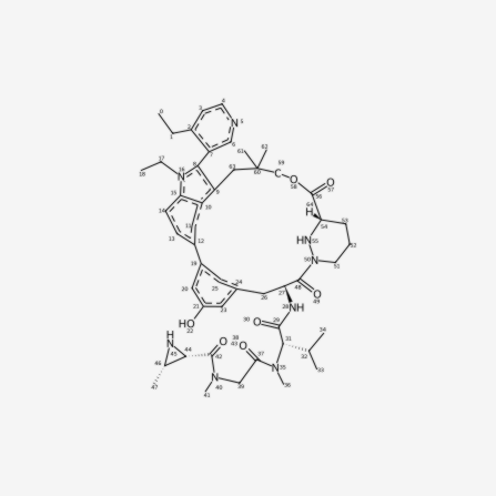 CCc1ccncc1-c1c2c3cc(ccc3n1CC)-c1cc(O)cc(c1)C[C@H](NC(=O)[C@H](C(C)C)N(C)C(=O)CN(C)C(=O)[C@H]1N[C@H]1C)C(=O)N1CCC[C@H](N1)C(=O)OCC(C)(C)C2